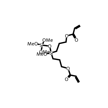 C=CC(=O)OCCC[Si](CCCOC(=O)C=C)(OC)O[Si](OC)(OC)OC